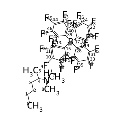 CCCCC(C)[NH+](C)C.Fc1c(F)c(F)c([B-](c2c(F)c(F)c(F)c(F)c2F)(c2c(F)c(F)c(F)c(F)c2F)c2c(F)c(F)c(F)c(F)c2F)c(F)c1F